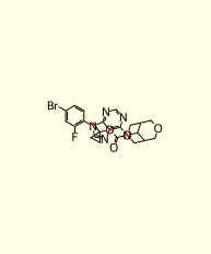 CC1(OC(=O)N2CC3COCC(C2)C3Oc2ncnc3c2ncn3-c2ccc(Br)cc2F)CC1